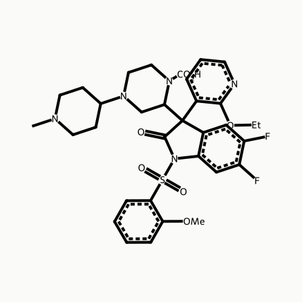 CCOc1ncccc1C1(C2CN(C3CCN(C)CC3)CCN2C(=O)O)C(=O)N(S(=O)(=O)c2ccccc2OC)c2cc(F)c(F)cc21